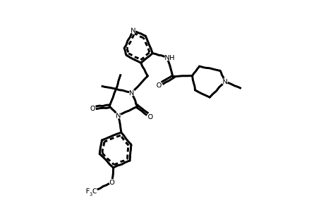 CN1CCC(C(=O)Nc2cnccc2CN2C(=O)N(c3ccc(OC(F)(F)F)cc3)C(=O)C2(C)C)CC1